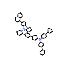 C1=CC(c2ccc(N(c3ccc(-c4ccccc4)cc3)c3ccc(-c4ccc(-c5ccccc5-n5c6ccccc6c6ccc(-c7cccc8ccccc78)cc65)cc4)cc3)cc2)=CCC1